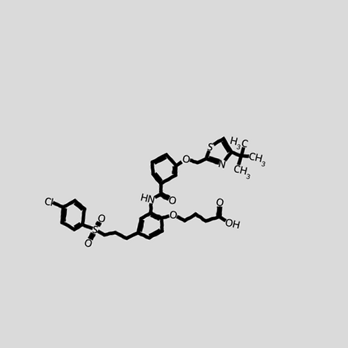 CC(C)(C)c1csc(COc2cccc(C(=O)Nc3cc(CCCS(=O)(=O)c4ccc(Cl)cc4)ccc3OCCCC(=O)O)c2)n1